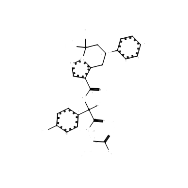 CCc1ccc(C(CC)(NC(=O)c2cnn3c2C[C@H](c2ccccc2)CC3(C)C)C(=O)N[C@H](C(N)=O)[C@@H](C)CC)cc1